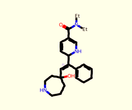 CCN(CC)C(=O)C1=CNC(/C(=C/C2(O)CCCNCC2)C2=CCCC=C2)C=C1